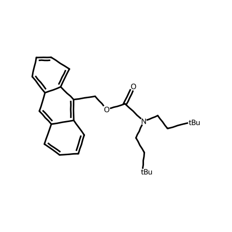 CC(C)(C)CCN(CCC(C)(C)C)C(=O)OCc1c2ccccc2cc2ccccc12